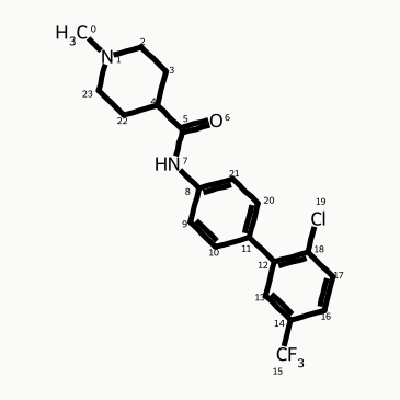 CN1CCC(C(=O)Nc2ccc(-c3cc(C(F)(F)F)ccc3Cl)cc2)CC1